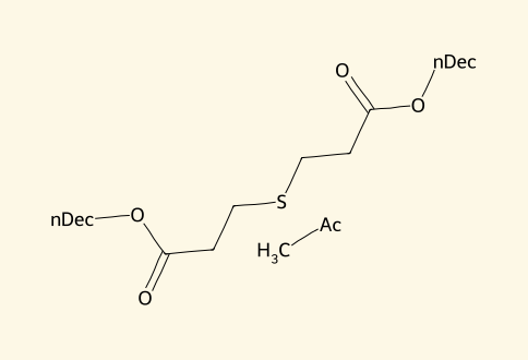 CC(C)=O.CCCCCCCCCCOC(=O)CCSCCC(=O)OCCCCCCCCCC